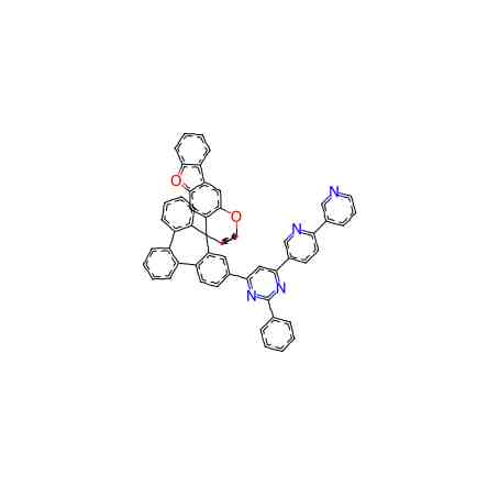 c1ccc(-c2nc(-c3ccc(-c4cccnc4)nc3)cc(-c3ccc4c(c3)C3(c5ccccc5Oc5cc6c(cc53)oc3ccccc36)c3ccccc3-c3ccccc3-4)n2)cc1